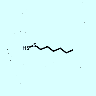 CC[CH]CCCSS